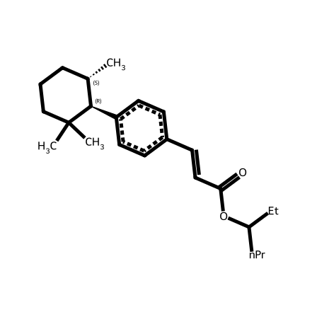 CCCC(CC)OC(=O)C=Cc1ccc([C@@H]2[C@@H](C)CCCC2(C)C)cc1